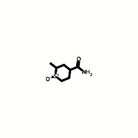 CC1CC(C(N)=O)CC[S+]1[O-]